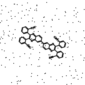 [C-]#[N+]c1ccccc1-c1nc2cc(-c3ccc4nc(-c5ccccc5[N+]#[C-])c(-c5ccccc5[N+]#[C-])nc4c3)ccc2nc1-c1ccccc1C#N